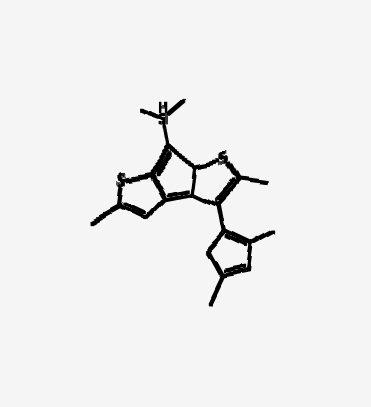 CC1=CC(C)=C(C2=C(C)SC3C2=c2cc(C)sc2=C3[SiH](C)C)C1